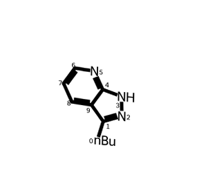 CCCCc1n[nH]c2ncccc12